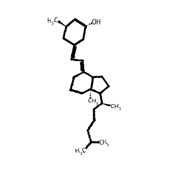 CC(C)CCC[C@H](C)C1CCC2/C(=C/C=C3/C[C@@H](C)C[C@H](O)C3)CCC[C@@]21C